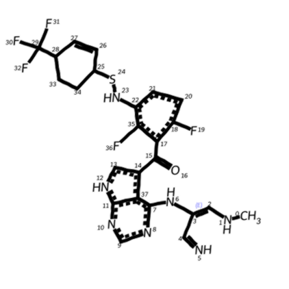 CN/C=C(\C=N)Nc1ncnc2[nH]cc(C(=O)c3c(F)ccc(NSC4C=CC(C(F)(F)F)CC4)c3F)c12